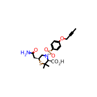 CC#CCOc1ccc(S(=O)(=O)N2C[C@H](CC(N)=O)SC(C)(C)[C@@H]2C(=O)O)cc1